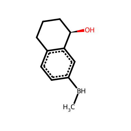 CBc1ccc2c(c1)[C@H](O)CCC2